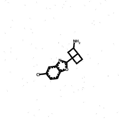 NC1CC2(c3nc4cc(Cl)ccc4o3)CCC12